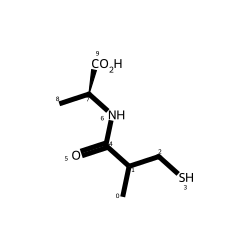 CC(CS)C(=O)N[C@@H](C)C(=O)O